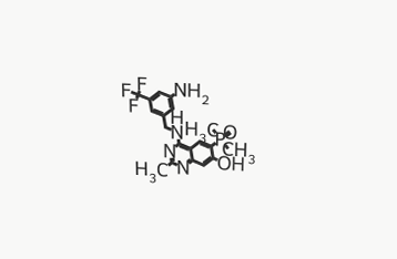 Cc1nc(NCc2cc(N)cc(C(F)(F)F)c2)c2cc(P(C)(C)=O)c(O)cc2n1